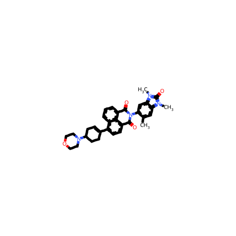 Cc1cc2c(cc1N1C(=O)c3cccc4c(C5=CCC(N6CCOCC6)CC5)ccc(c34)C1=O)n(C)c(=O)n2C